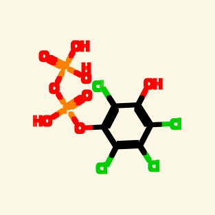 O=P(O)(O)OP(=O)(O)Oc1c(Cl)c(O)c(Cl)c(Cl)c1Cl